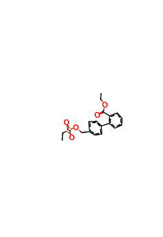 CCOC(=O)c1ccccc1-c1ccc(COS(=O)(=O)CC)cc1